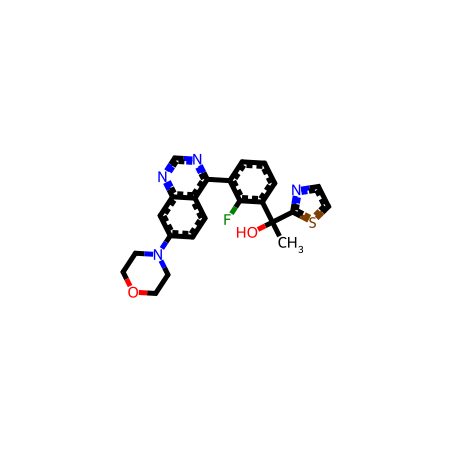 CC(O)(c1nccs1)c1cccc(-c2ncnc3cc(N4CCOCC4)ccc23)c1F